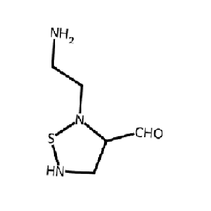 NCCN1SNCC1C=O